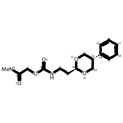 CNC(=O)COC(=O)NCC[C@H]1OC[C@H](c2ccccc2)CO1